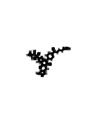 CNCCCC(=O)N1CCC(n2c(=O)n(Cc3cnn(C)c3)c(=O)c3cc(S(=O)(=O)NC4(C)CC4)sc32)CC1